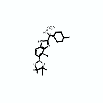 CC1CCC([C@H](NC(=O)O)c2nc3c(F)c(B4OC(C)(C)C(C)(C)O4)ccc3[nH]2)CC1